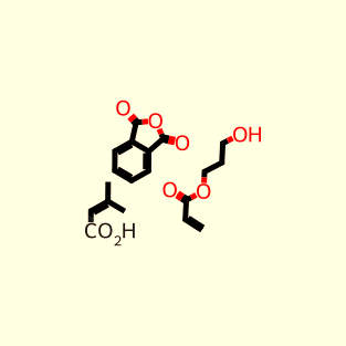 C=CC(=O)OCCCO.CC(C)=CC(=O)O.O=C1OC(=O)c2ccccc21